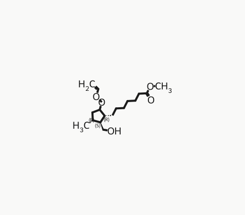 C=COOC1C[C@@H](C)[C@H](CO)[C@H]1CCCCCCC(=O)OC